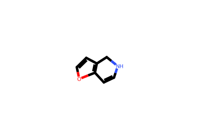 C1=Cc2occc2CN1